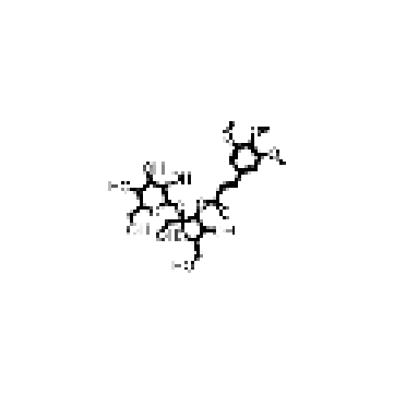 COc1cc(C=CC(=O)OC2C(O)C(CO)OC2(CO)OC2OC(CO)C(O)C(O)C2O)cc(OC)c1OC